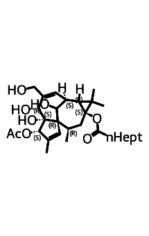 CCCCCCCC(=O)O[C@@]12C[C@@H](C)[C@]34C=C(C)[C@H](OC(C)=O)[C@@]3(O)[C@H](O)C(CO)=C[C@H](C4O)[C@@H]1C2(C)C